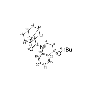 CCCCOC1CCN(C(=O)C23CC4CC(CC(C4)C2)C3)c2ccccc21